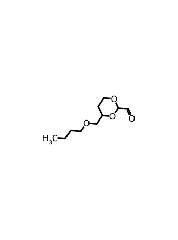 CCCCOCC1CCOC(C=O)O1